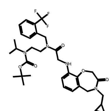 CC(C)N(CCN(Cc1ccccc1C(F)(F)F)C(=O)CNc1cccc2c1OCC(=O)N(CC1CC1)C2)C(=O)OC(C)(C)C